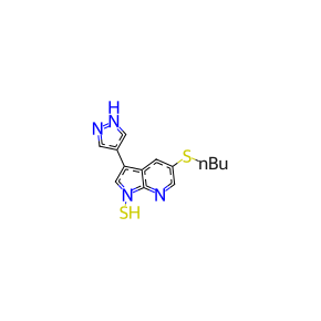 CCCCSc1cnc2c(c1)c(-c1cn[nH]c1)cn2S